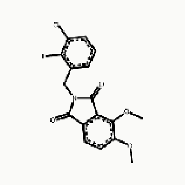 COc1ccc2c(c1OC)C(=O)N(Cc1cccc(Cl)c1F)C2=O